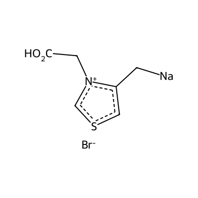 O=C(O)C[n+]1cscc1[CH2][Na].[Br-]